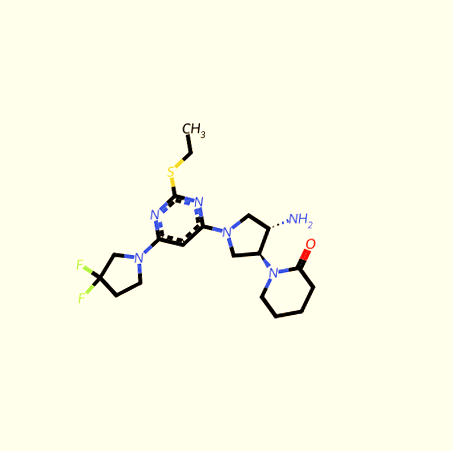 CCSc1nc(N2C[C@H](N)[C@@H](N3CCCCC3=O)C2)cc(N2CCC(F)(F)C2)n1